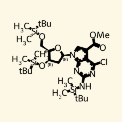 COC(=O)c1cn([C@H]2C[C@@H](O[Si](C)(C)C(C)(C)C)[C@@H](CO[Si](C)(C)C(C)(C)C)O2)c2nc(N[Si](C)(C)C(C)(C)C)nc(Cl)c12